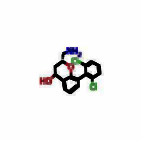 NC[C@H]1CC(O)c2cccc(-c3c(Cl)cccc3Cl)c2O1